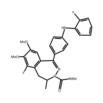 CNC(=O)N1N=C(c2ccc(Nc3ccccc3F)cc2)c2cc(OC)c(OC)c(F)c2CC1C